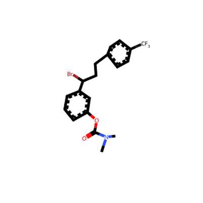 CN(C)C(=O)Oc1cccc(C(Br)CCc2ccc(C(F)(F)F)cc2)c1